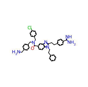 N=C(N)c1ccc(CCc2nc3cc(C(=O)N(Cc4ccc(Cl)cc4)Cc4ccc(CN)cc4)ccc3n2CCc2ccccc2)cc1